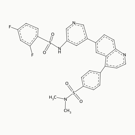 CN(C)S(=O)(=O)c1ccc(-c2ccnc3ccc(-c4cncc(NS(=O)(=O)c5ccc(F)cc5F)c4)cc23)cc1